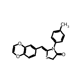 Cc1ccc(N2C(=O)CSC2=Cc2ccc3c(c2)OC=CO3)cc1